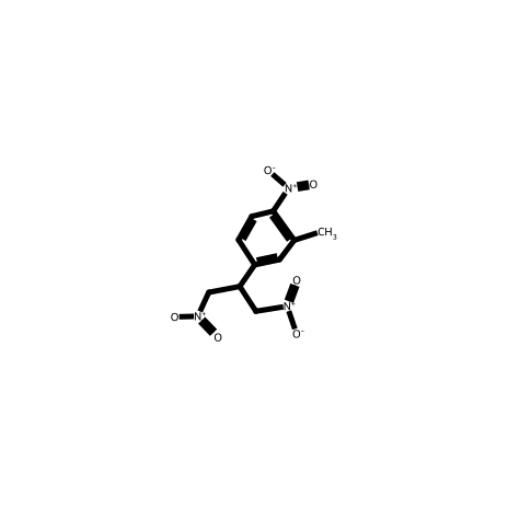 Cc1cc(C(C[N+](=O)[O-])C[N+](=O)[O-])ccc1[N+](=O)[O-]